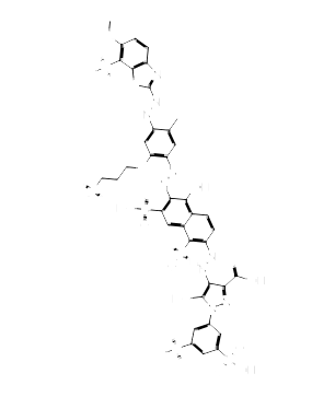 COc1ccc2nc(N=Nc3cc(OCCCS(=O)(=O)O)c(N=Nc4c(S(=O)(=O)O)cc5c(S(=O)(=O)O)c(N=Nc6c(C(=O)O)nn(-c7cc(S(=O)(=O)O)cc(S(=O)(=O)O)c7)c6O)ccc5c4O)cc3C)sc2c1S(=O)(=O)O